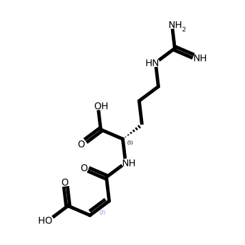 N=C(N)NCCC[C@H](NC(=O)/C=C\C(=O)O)C(=O)O